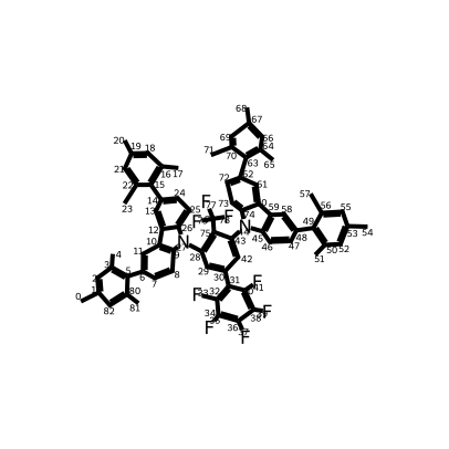 Cc1cc(C)c(-c2ccc3c(c2)c2cc(-c4c(C)cc(C)cc4C)ccc2n3-c2cc(-c3c(F)c(F)c(F)c(F)c3F)cc(-n3c4ccc(-c5c(C)cc(C)cc5C)cc4c4cc(-c5c(C)cc(C)cc5C)ccc43)c2C(F)(F)F)c(C)c1